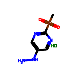 CS(=O)(=O)c1ncc(NN)cn1.Cl